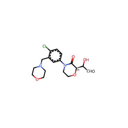 O=CC(O)[C@H]1OCCN(c2ccc(Cl)c(CN3CCOCC3)c2)C1=O